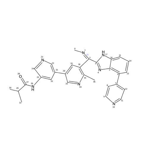 C/N=C(/c1nc2c(-c3ccncc3)cccc2[nH]1)c1cc(-c2cncc(NC(=O)C(C)C)c2)cnc1C